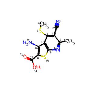 CSc1c(C#N)c(C)nc2sc(C(=O)O)c(N)c12